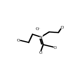 ClCC[N+](CCCl)=C(Cl)Cl.[Cl-]